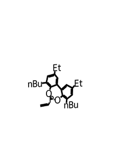 C=Cp1oc2c(CCCC)cc(CC)cc2c2cc(CC)cc(CCCC)c2o1